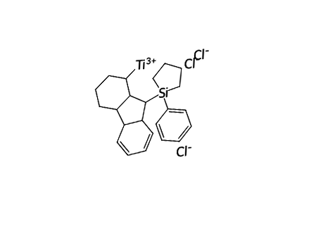 [Cl-].[Cl-].[Cl-].[Ti+3][CH]1CCCC2C3C=CC=CC3C([Si]3(c4ccccc4)CCCC3)C12